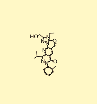 CCn1c(CO)nn(-c2nc3c(C(C)C)nn(-c4ccccc4C)c(=O)c3cc2F)c1=O